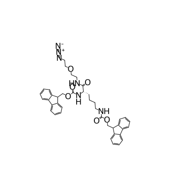 [N-]=[N+]=NCCOCCNC(=O)[C@H](CCCCNC(=O)OCC1c2ccccc2-c2ccccc21)NC(=O)OCC1c2ccccc2-c2ccccc21